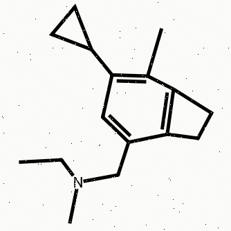 CCN(C)Cc1cc(C2CC2)c(C)c2c1CC2